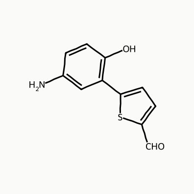 Nc1ccc(O)c(-c2ccc(C=O)s2)c1